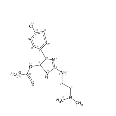 CN(C)CCNC1=NC(c2ccc(Cl)cc2)C(OC(=O)C(=O)O)N1